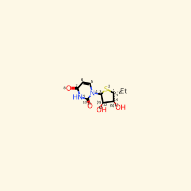 CC[C@H]1SC(n2ccc(=O)[nH]c2=O)[C@H](O)[C@@H]1O